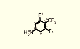 NC1C=C(F)C(C(F)(F)F)=C(F)C1